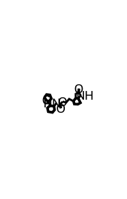 O=C1Cc2c(CCOC(=O)Nc3ccccc3-c3ccccc3)cccc2N1